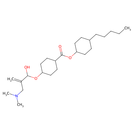 C=C(CN(C)C)C(O)OC1CCC(C(=O)OC2CCC(CCCCC)CC2)CC1